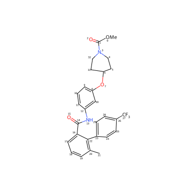 COC(=O)N1CCC(Oc2cccc(NC(=O)c3cccc(C)c3-c3ccc(C(F)(F)F)cc3)c2)CC1